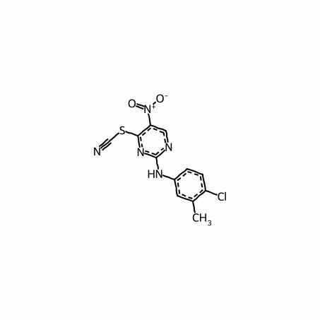 Cc1cc(Nc2ncc([N+](=O)[O-])c(SC#N)n2)ccc1Cl